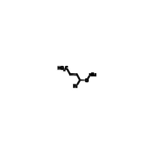 CCCCOC(C=CC(=O)O)CC